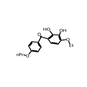 CCCOc1ccc(C(=O)c2ccc(OCC)c(O)c2O)cc1